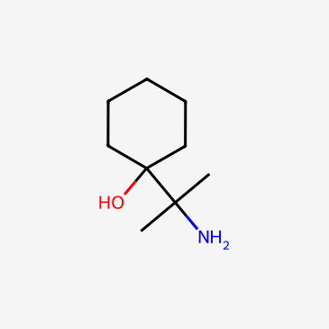 CC(C)(N)C1(O)CCCCC1